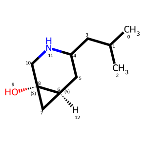 CC(C)CC1C[C@H]2C[C@@]2(O)CN1